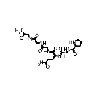 CC(=O)CNC(=O)CNC(=O)CNC(=O)C(CCC(N)=O)NC(=O)CNC(=O)C1CCCN1